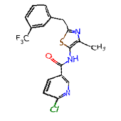 Cc1nc(Cc2cccc(C(F)(F)F)c2)sc1NC(=O)c1ccc(Cl)nc1